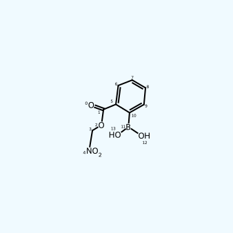 O=C(OC[N+](=O)[O-])c1ccccc1B(O)O